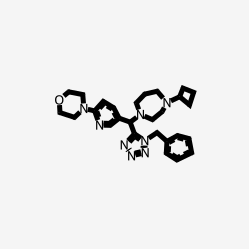 c1ccc(Cn2nnnc2C(c2ccc(N3CCOCC3)nc2)N2CCCN(C3CCC3)CC2)cc1